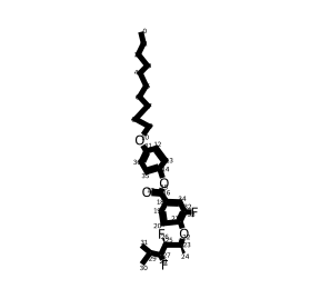 CCCCCCCCCCOc1ccc(OC(=O)c2ccc(O[C@@H](C)[C@@H](F)C(F)C(C)C)c(F)c2)cc1